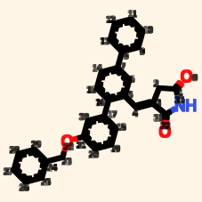 O=C1CC(=Cc2cc(-c3ccccc3)ccc2-c2cccc(OCc3ccccc3)c2)C(=O)N1